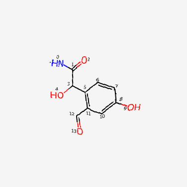 [NH]C(=O)C(O)c1ccc(O)cc1C=O